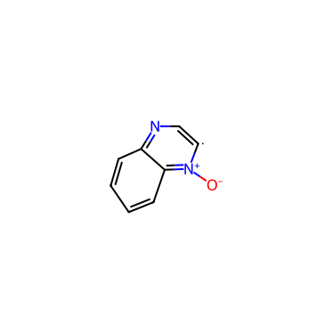 [O-][n+]1[c]cnc2ccccc21